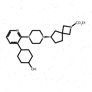 CCOC(=O)N1CC2(CC[C@@H](N3CCN(c4ncccc4C4CCC(O)CC4)CC3)C2)C1